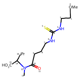 COCCNC(=S)NCCCC(=O)N(C)C(C(=O)O)C(C)C